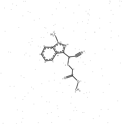 COC(=O)CSC(C#N)c1nn(C)c2ccccc12